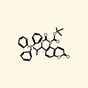 CC(C1OC(=O)N(C(=O)OC(C)(C)C)c2c1ccc1oc(=O)ccc21)[PH](c1ccccc1)(c1ccccc1)c1ccccc1